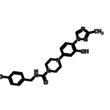 Cc1ncn(-c2ccc(N3CCN(C(=O)NCc4ccc(Cl)cc4)CC3)cc2O)n1